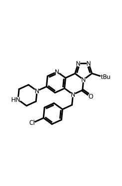 CC(C)(C)c1nnc2c3ncc(N4CCNCC4)cc3n(Cc3ccc(Cl)cc3)c(=O)n12